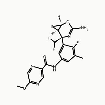 COc1cnc(C(=O)Nc2cc(C)c(F)c([C@@]3(C(F)F)N=C(N)O[C@@H]4S[C@@H]43)c2)cn1